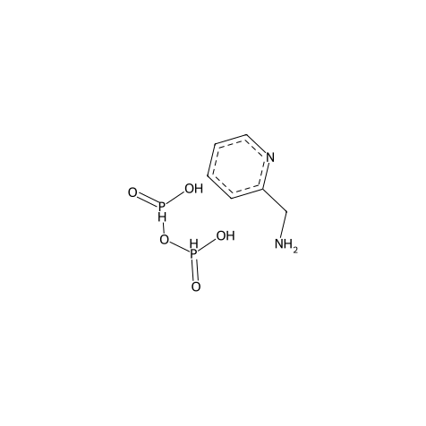 NCc1ccccn1.O=[PH](O)O[PH](=O)O